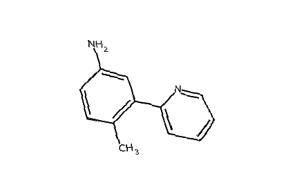 Cc1ccc(N)cc1-c1ccccn1